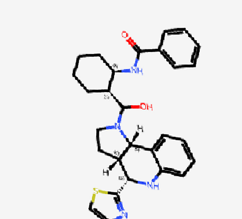 O=C(N[C@@H]1CCCC[C@@H]1C(O)N1CC[C@H]2[C@@H](c3nccs3)Nc3ccccc3[C@H]21)c1ccccc1